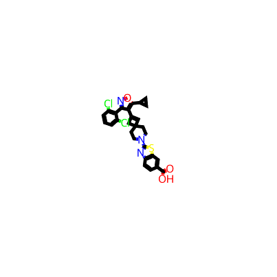 O=C(O)c1ccc2nc(N3CCC4(C=C(c5c(-c6c(Cl)cccc6Cl)noc5C5CC5)C4)CC3)sc2c1